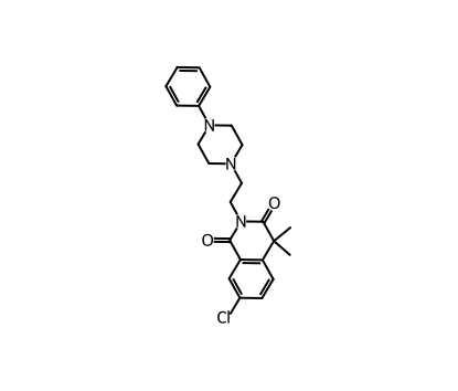 CC1(C)C(=O)N(CCN2CCN(c3ccccc3)CC2)C(=O)c2cc(Cl)ccc21